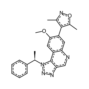 COc1cc2c(cc1-c1c(C)noc1C)ncc1nnn([C@H](C)c3ccccc3)c12